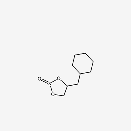 O=S1OCC(CC2CCCCC2)O1